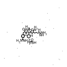 C=CCN(C(=O)C(Cc1ccc(C(=N)N)cc1)C(N)=O)[C@H](C(=O)NC(CCCNC(=N)N)C(N)=O)C1CCCCC1.O=C(O)C(F)(F)F